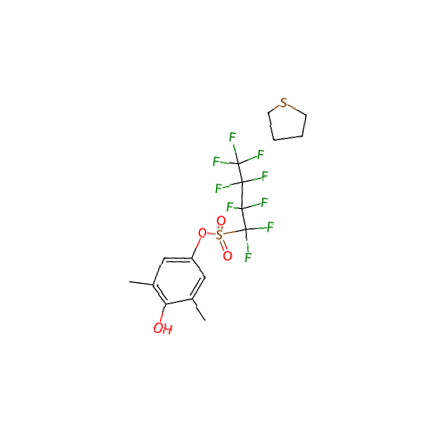 C1CCSC1.Cc1cc(OS(=O)(=O)C(F)(F)C(F)(F)C(F)(F)C(F)(F)F)cc(C)c1O